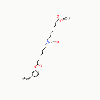 CCCCCCCCOC(=O)CCCCCCCN(CCO)CCCCCCCC(=O)Oc1cccc(CCCCC)c1